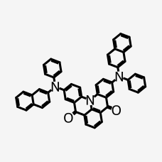 O=c1c2cc(N(c3ccccc3)c3ccc4ccccc4c3)ccc2n2c3ccc(N(c4ccccc4)c4ccc5ccccc5c4)cc3c(=O)c3cccc1c32